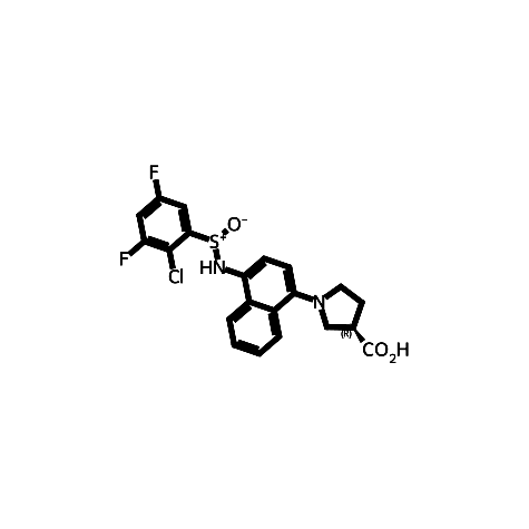 O=C(O)[C@@H]1CCN(c2ccc(N[S+]([O-])c3cc(F)cc(F)c3Cl)c3ccccc23)C1